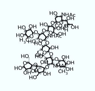 CC(=O)N[C@H]1[C@H](O[C@H]2[C@@H](O)[C@@H](CO)O[C@@H](O[C@H]3[C@H](O[C@@H]4O[C@@H](C)[C@@H](O)[C@@H](O)[C@@H]4O)[C@@H](NC(C)=O)[C@H](O[C@H]4[C@@H](O)[C@@H](CO)O[C@@H](O[C@H]5[C@H](O)[C@@H](O)[C@H](O)O[C@@H]5CO)[C@@H]4O)O[C@@H]3CO)[C@@H]2O)O[C@H](CO)[C@@H](O[C@@H]2O[C@@H](C)[C@@H](O)[C@@H](O)[C@@H]2O)[C@@H]1O[C@@H]1O[C@H](CO)[C@H](O)[C@H](O[C@]2(C(=O)O)C[C@H](O)[C@@H](NC(C)=O)[C@H]([C@H](O)[C@H](O)CO)O2)[C@H]1O